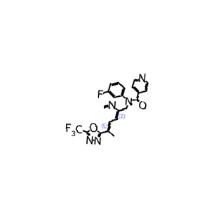 C=N/C(=C\C=C(/C)c1nnc(C(F)(F)F)o1)CN(C(=O)c1ccncc1)c1cccc(F)c1